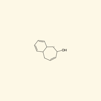 OC1[C]C2C=CC=CC2CC=C1